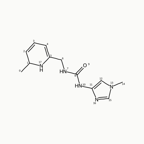 CC1C=CC=C(CNC(=O)Nc2cn(C)cn2)N1